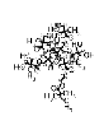 CCC(C)(C)C(=O)OCCOC(=O)C(C)(COC(=O)C(C)(COC(=O)C(C)(CO)CO)COC(=O)C(C)(CO)CO)COC(=O)C(C)(COC(=O)C(C)(CO)CO)COC(=O)C(C)(CO)CO